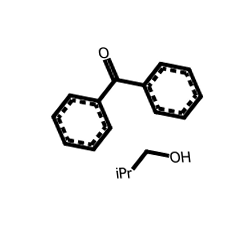 CC(C)CO.O=C(c1ccccc1)c1ccccc1